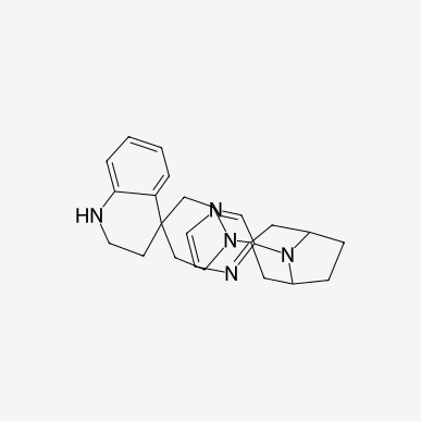 c1ccc2c(c1)NCCC21CCN(C2CC3CCC(C2)N3c2cnccn2)CC1